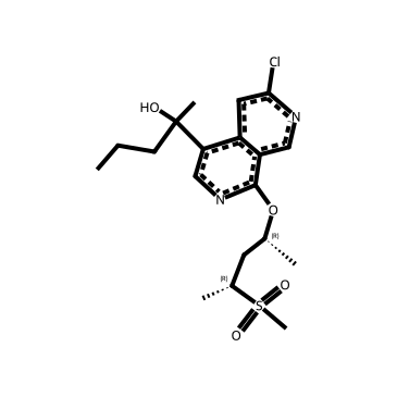 CCCC(C)(O)c1cnc(O[C@H](C)C[C@@H](C)S(C)(=O)=O)c2cnc(Cl)cc12